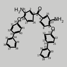 Nc1cc(C(=O)c2ccc(Oc3ccc(-c4ccccc4)cc3)c(N)c2)ccc1Oc1ccc(-c2ccccc2)cc1